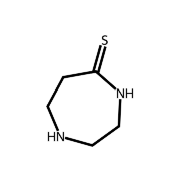 S=C1CCNCCN1